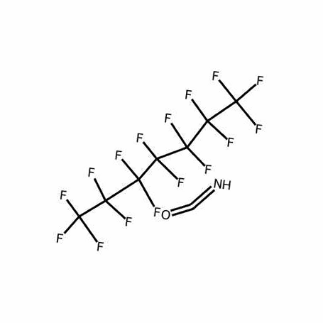 FC(F)(F)C(F)(F)C(F)(F)C(F)(F)C(F)(F)C(F)(F)C(F)(F)F.N=C=O